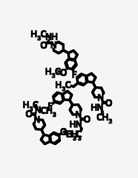 CCNC(=O)N1CCC(C2CCc3ccc(CC)cc32)CC1.CCNC(=O)N1CCC(C2CCc3ccc(F)cc32)CC1.CNC(=O)N1CCC(C2CCc3cc(F)c(OC)cc32)CC1.COc1ccc2c(c1)C(C1CCN(C(=O)N(C)C)CC1)CC2